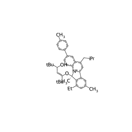 CCc1cc(C)cc2c1[C@@](C)(O/C(=C\C(O)C(C)(C)C)C(C)(C)C)[n+]1c-2cc(CC(C)C)c2cc(-c3ccc(C)cc3)ccc21